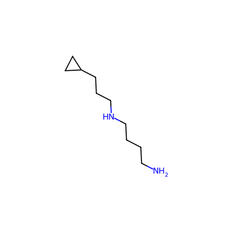 NCCCCNCCCC1CC1